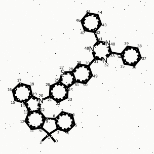 CC1(C)c2ccccc2-c2c1ccc1c3ccccc3n(-c3ccc4c(c3)sc3cc(-c5nc(-c6ccccc6)nc(-c6ccccc6)n5)ccc34)c21